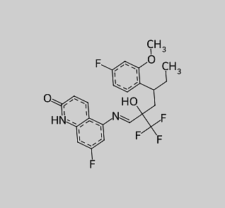 CCC(CC(O)(/C=N/c1cc(F)cc2[nH]c(=O)ccc12)C(F)(F)F)c1ccc(F)cc1OC